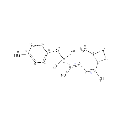 C/C(=C\C=C(\O)C1CCC1C)C(F)(F)Oc1ccc(O)cc1